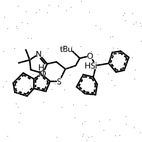 CC1(C)COC(CC(CC(O[SiH](c2ccccc2)c2ccccc2)C(C)(C)C)Sc2cc3ccccc3[nH]2)=N1